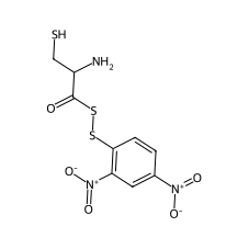 NC(CS)C(=O)SSc1ccc([N+](=O)[O-])cc1[N+](=O)[O-]